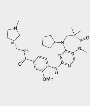 COc1cc(C(=O)NC[C@@H]2CCN(C)C2)ccc1Nc1ncc2c(n1)N(C1CCCC1)CC(C)(C)C(=O)N2C